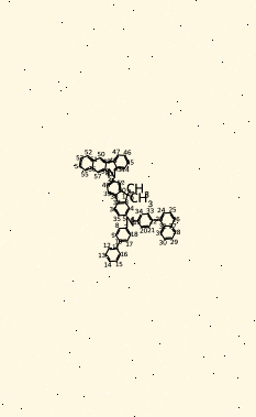 CC1(C)c2cc(N(c3ccc(-c4ccccc4)cc3)c3ccc(-c4cccc5ccccc45)cc3)ccc2-c2ccc(-n3c4ccccc4c4cc5ccccc5cc43)cc21